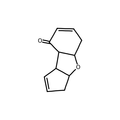 O=C1C=CCC2OC3CC=CC3C12